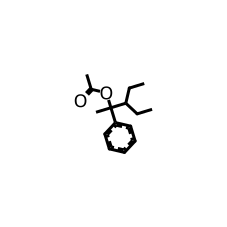 CCC(CC)C(C)(OC(C)=O)c1ccccc1